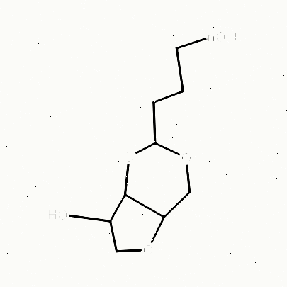 CCCCCCCCCCCC1OCC2OCC(O)C2O1